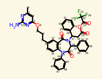 Cc1cc(OCCCc2ccc3c(c2)C(=O)N(C(CC(=O)OC(=O)C(F)(F)F)c2ccccc2)C(c2ccccc2)C(=O)N3c2ccccc2)nc(N)n1